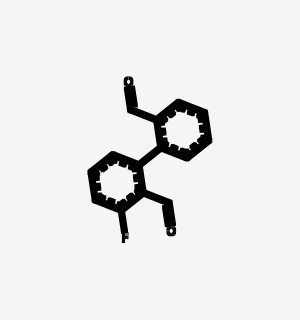 O=Cc1ccccc1-c1cccc(F)c1C=O